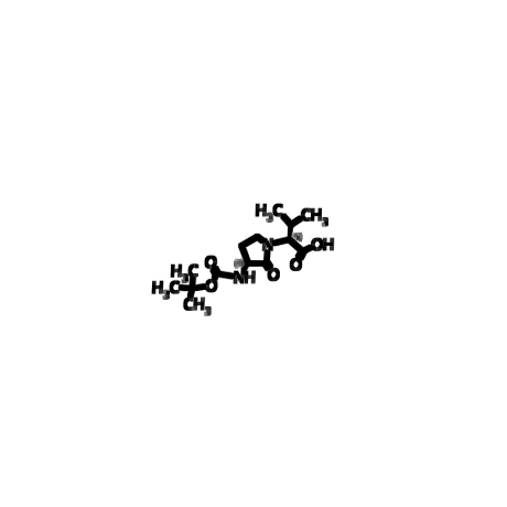 CC(C)[C@@H](C(=O)O)N1CC[C@H](NC(=O)OC(C)(C)C)C1=O